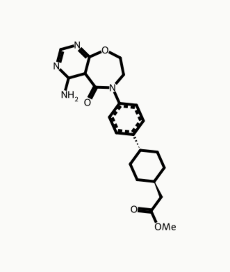 COC(=O)C[C@H]1CC[C@H](c2ccc(N3CCOC4=NC=NC(N)C4C3=O)cc2)CC1